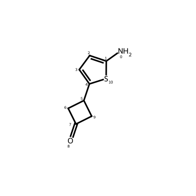 Nc1ccc(C2CC(=O)C2)s1